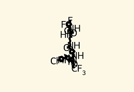 O=C(NCCCCNC(=O)c1ccc(Nc2nc(NC3(c4ccc(Cl)cc4)CC3)nc(OCC(F)(F)F)n2)cc1)C(=O)Nc1cc(F)cc(F)c1